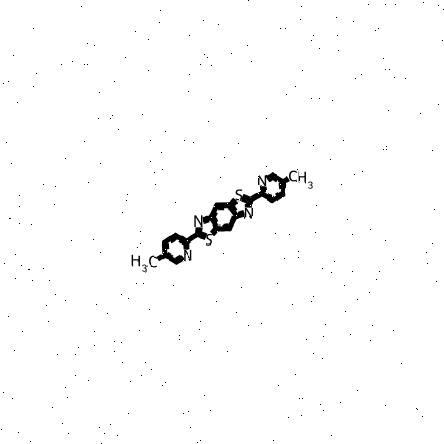 Cc1ccc(-c2nc3cc4sc(-c5ccc(C)cn5)nc4cc3s2)nc1